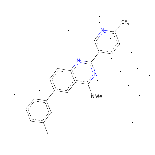 CNc1nc(-c2ccc(C(F)(F)F)nc2)nc2ccc(-c3cccc(C)c3)cc12